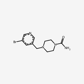 NC(=O)N1CCN(Cc2cncc(Br)c2)CC1